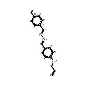 C=CCOc1ccc(/C=N/N=C/c2ccc(C)cc2)cc1